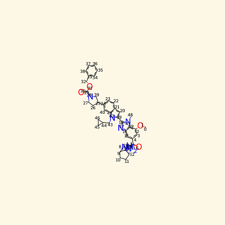 COc1cc(C(=O)N2CC3CCC2[C@@H]3N)cc2nc(-c3cc4ccc(C5CCN(C(=O)OCc6ccccc6)C5)cc4n3CC3CC3)n(C)c12